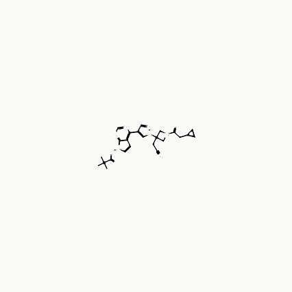 CC(C)(C)C(=O)On1ccc2c(-c3cnn(C4(CC#N)CN(C(=O)CC5CC5)C4)c3)ncnc21